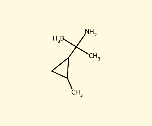 BC(C)(N)C1CC1C